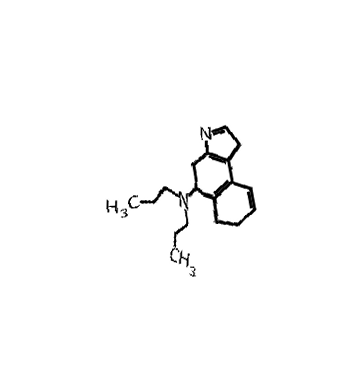 CCCN(CCC)C1CC2=C(CC=N2)C2=C1CCC=C2